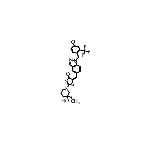 CCC1(O)CCCN(C2=NC(=O)C(=Cc3ccc4c(cnn4Cc4ccc(Cl)cc4C(F)(F)F)c3)S2)C1